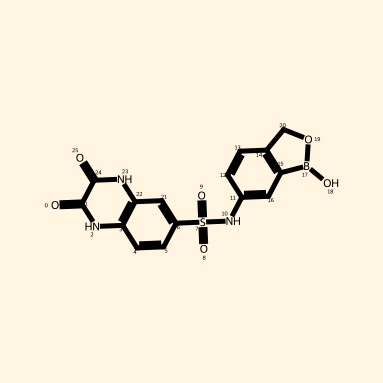 O=c1[nH]c2ccc(S(=O)(=O)Nc3ccc4c(c3)B(O)OC4)cc2[nH]c1=O